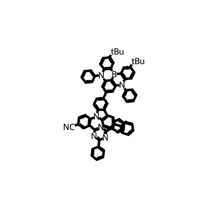 CC(C)(C)c1ccc2c(c1)B1c3cc(C(C)(C)C)ccc3N(c3ccccc3)c3cc(-c4ccc5c(c4)c4cc(-c6ccccc6)ccc4n5-c4ccc(C#N)cc4-c4nc(-c5ccccc5)nc(-c5ccccc5)n4)cc(c31)N2c1ccccc1